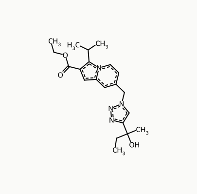 CCOC(=O)c1cc2cc(Cn3cc(C(C)(O)CC)nn3)ccn2c1C(C)C